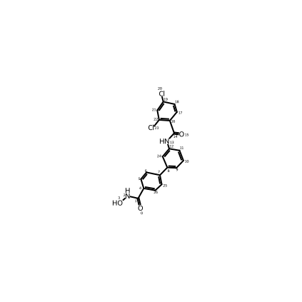 O=C(NO)c1ccc(-c2cccc(NC(=O)c3ccc(Cl)cc3Cl)c2)cc1